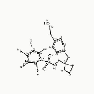 O=S(=O)(NCC1(Cc2ccc(CCO)cc2)CCC1)c1c(F)c(F)c(F)c(F)c1F